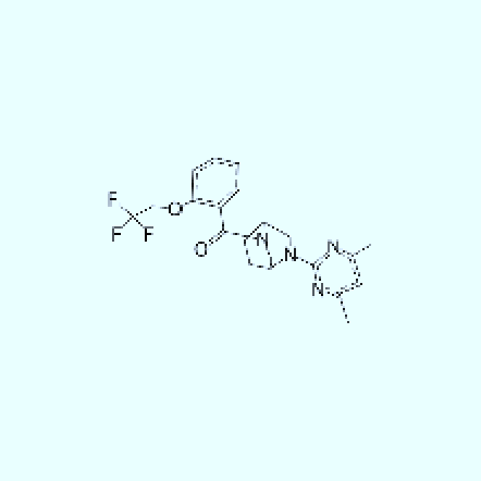 Cc1cc(C)nc(N2CC3CCC2CN3C(=O)c2ccccc2OCC(F)(F)F)n1